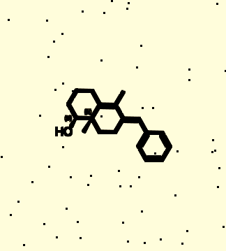 CC1=C2CCC[C@H](O)[C@@]2(C)CCC1=Cc1ccccc1